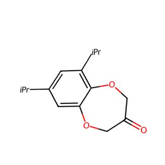 CC(C)c1cc2c(c(C(C)C)c1)OCC(=O)CO2